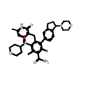 CCN(c1c(C)c(C(N)=O)c(F)c(-c2ccc3c(c2)CCC3N2CCOCC2)c1Cc1c(C)cc(C)[nH]c1=O)C1CCOCC1